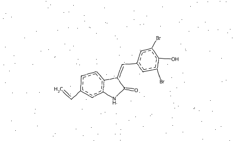 C=Cc1ccc2c(c1)NC(=O)C2=Cc1cc(Br)c(O)c(Br)c1